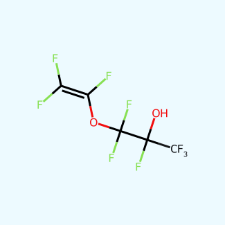 OC(F)(C(F)(F)F)C(F)(F)OC(F)=C(F)F